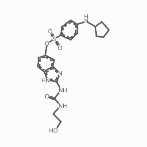 O=C(NCCO)Nc1nc2cc(OS(=O)(=O)c3ccc(NC4CCCC4)cc3)ccc2[nH]1